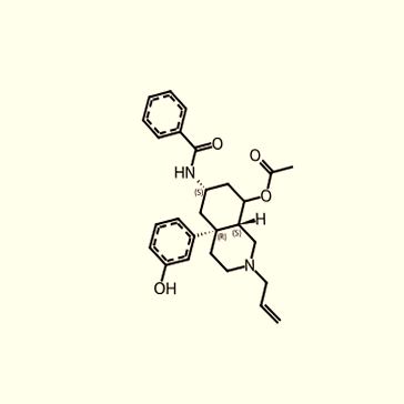 C=CCN1CC[C@@]2(c3cccc(O)c3)C[C@H](NC(=O)c3ccccc3)CC(OC(C)=O)[C@@H]2C1